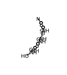 N#Cc1ccc2c(c1)Cc1cc(NC(=S)OCCCNC(=O)Nc3ccc4c(c3)Cc3cc(NC(=O)NCCCO)ccc3-4)ccc1-2